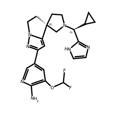 Nc1ncc(-c2cc3n(n2)CC[C@@]32CCN([C@H](c3ncc[nH]3)C3CC3)C2)cc1OC(F)F